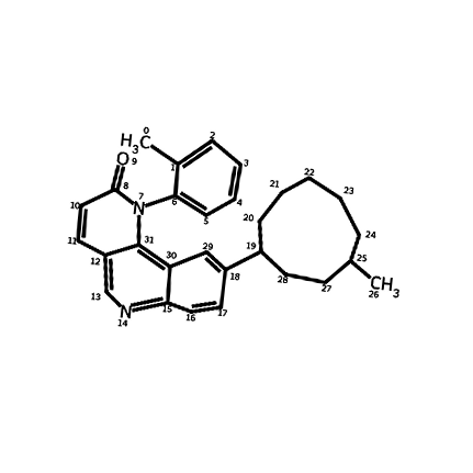 Cc1ccccc1-n1c(=O)ccc2cnc3ccc(C4CCCCCC(C)CC4)cc3c21